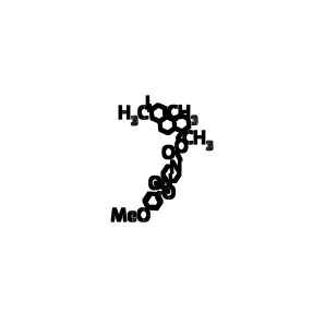 COc1ccc(S(=O)(=O)N2CCN(CC(=O)OC[C@]3(C)CCC[C@@]4(C)C5=CC[C@](C)(I)CC5CCC34)CC2)cc1